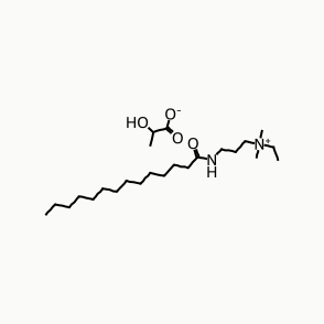 CC(O)C(=O)[O-].CCCCCCCCCCCCCC(=O)NCCC[N+](C)(C)CC